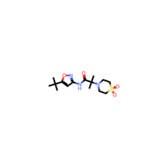 CC(C)(C)c1cc(NC(=O)C(C)(C)N2CCS(=O)(=O)CC2)no1